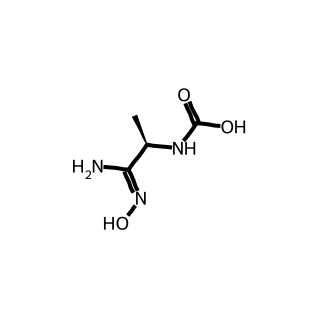 C[C@@H](NC(=O)O)/C(N)=N/O